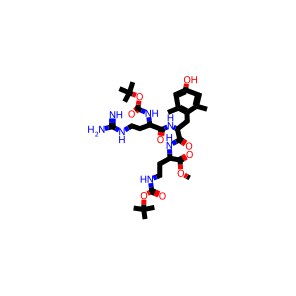 COC(=O)C(CCNC(=O)OC(C)(C)C)NC(=O)C(Cc1c(C)cc(O)cc1C)NC(=O)C(CCNC(=N)N)NC(=O)OC(C)(C)C